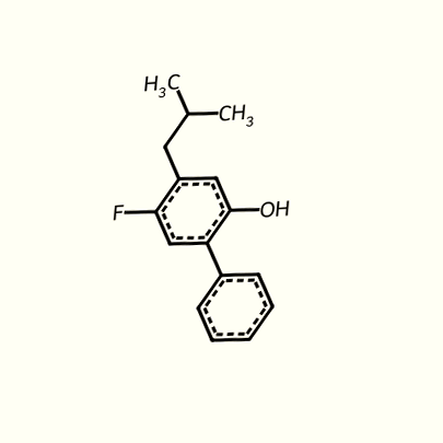 CC(C)Cc1cc(O)c(-c2ccccc2)cc1F